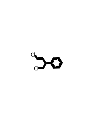 ClC=CC(CCl)c1ccccc1